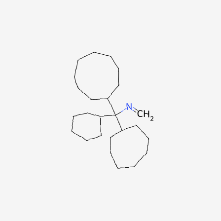 C=NC(C1CCCCCCCC1)(C1CCCCCCC1)C1CCCCC1